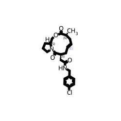 C[C@H]1C/C=C/C[C@@H](CC(=O)NCc2ccc(Cl)cc2)C(=O)N2CCC[C@H]2COC1=O